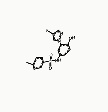 Cc1ccc(S(=O)(=O)Nc2ccc(O)c(-n3cc(F)cn3)c2)cc1